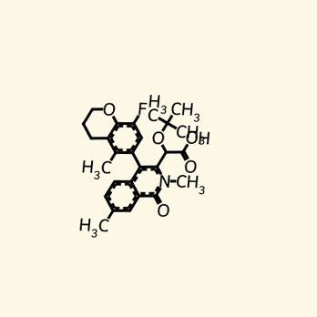 Cc1ccc2c(-c3cc(F)c4c(c3C)CCCO4)c(C(OC(C)(C)C)C(=O)O)n(C)c(=O)c2c1